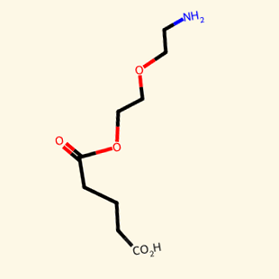 NCCOCCOC(=O)CCCC(=O)O